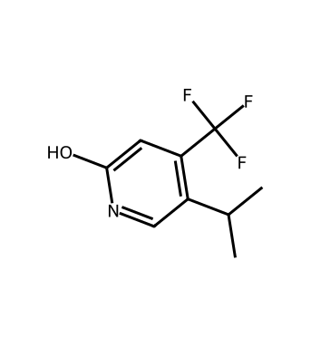 CC(C)c1cnc(O)cc1C(F)(F)F